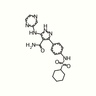 NC(=O)c1c(-c2ccc(NS(=O)(=O)C3CCCCC3)cc2)n[nH]c1Nc1cnccn1